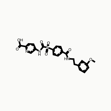 COc1cccc(CCNC(=O)c2ccc(S(=O)(=O)C(=O)Nc3ccc(C(=O)O)nc3)cc2)c1